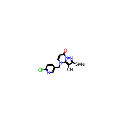 CSc1nn2c(=O)ccn(Cc3ccc(Cl)nc3)c2c1C#N